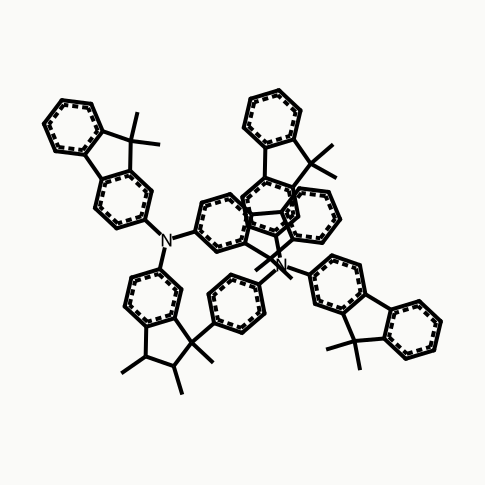 CC1c2ccc(N(c3ccc4c(c3)C(C)(C)c3ccccc3-4)c3ccc4c(c3)C(C)(C)c3ccccc3-4)cc2C(C)(c2ccc(N(c3ccc4c(c3)C(C)(C)c3ccccc3-4)c3ccc4c(c3)C(C)(C)c3ccccc3-4)cc2)C1C